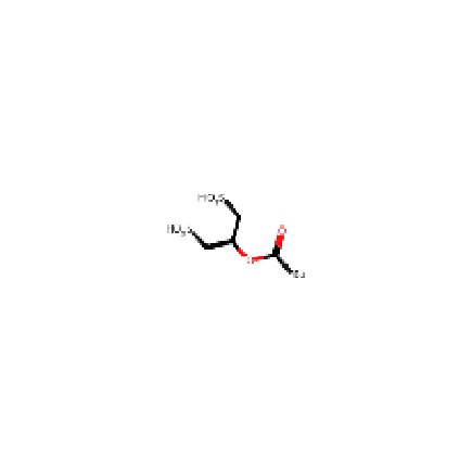 CCC(C)C(=O)OC(CS(=O)(=O)O)CS(=O)(=O)O